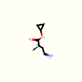 C[C@H](CC=N)C(=O)OC1CC1